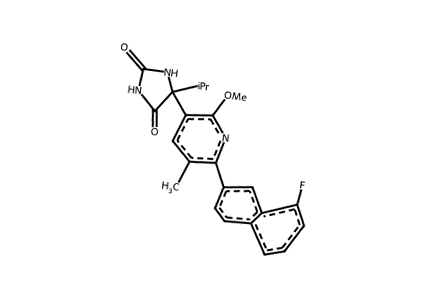 COc1nc(-c2ccc3cccc(F)c3c2)c(C)cc1C1(C(C)C)NC(=O)NC1=O